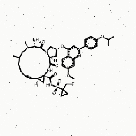 COc1ccc2c(O[C@@H]3C[C@H]4C(=O)N[C@]5(C(=O)NS(=O)(=O)C6(CF)CC6)C[C@H]5/C=C\CCC(C)C[C@@H](C)[C@H](N)C(=O)N4C3)cc(-c3ccc(OC(C)C)cc3)nc2c1